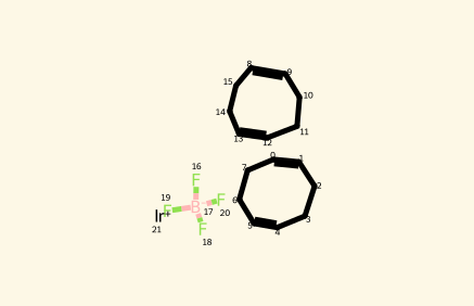 C1=CCCC=CCC1.C1=CCCC=CCC1.F[B-](F)(F)F.[Ir+]